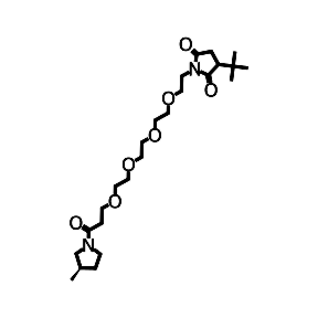 C[C@@H]1CCN(C(=O)CCOCCOCCOCCOCCN2C(=O)CC(C(C)(C)C)C2=O)C1